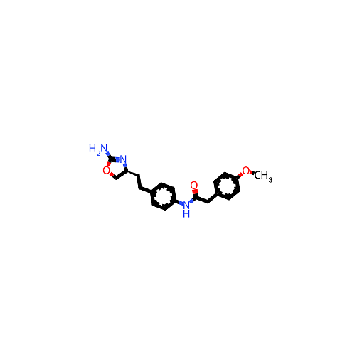 COc1ccc(CC(=O)Nc2ccc(CC[C@H]3COC(N)=N3)cc2)cc1